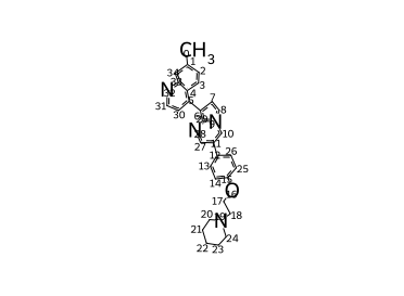 Cc1ccc2c(-c3ccn4cc(-c5ccc(OCCN6CCCCC6)cc5)cnc34)ccnc2c1